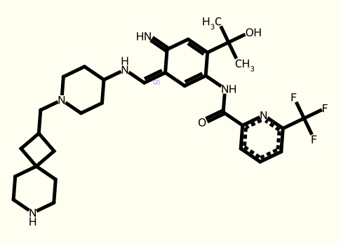 CC(C)(O)C1=CC(=N)/C(=C\NC2CCN(CC3CC4(CCNCC4)C3)CC2)C=C1NC(=O)c1cccc(C(F)(F)F)n1